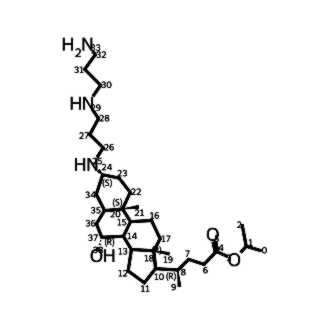 CC(C)OC(=O)CC[C@@H](C)C1CCC2C3C(CC[C@@]21C)[C@@]1(C)CC[C@H](NCCCNCCCN)CC1C[C@H]3O